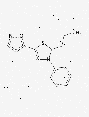 CCCC1SC(c2ccno2)=[C]N1c1ccccc1